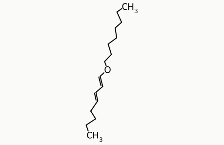 CCCCC=CC=COCCCCCCCC